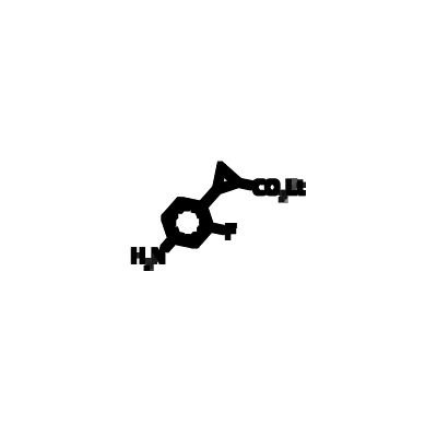 CCOC(=O)C1CC1c1ccc(N)cc1F